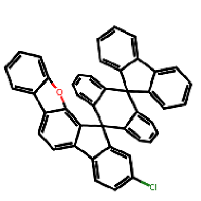 Clc1ccc2c(c1)C1(c3ccccc3C3(c4ccccc4-c4ccccc43)c3ccccc31)c1c-2ccc2c1oc1ccccc12